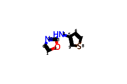 c1coc(Nc2ccsc2)n1